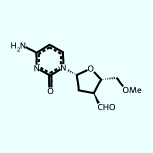 COC[C@H]1O[C@@H](n2ccc(N)nc2=O)C[C@@H]1C=O